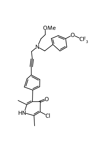 COCCN(CC#Cc1ccc(-c2c(C)[nH]c(C)c(Cl)c2=O)cc1)Cc1ccc(OC(F)(F)F)cc1